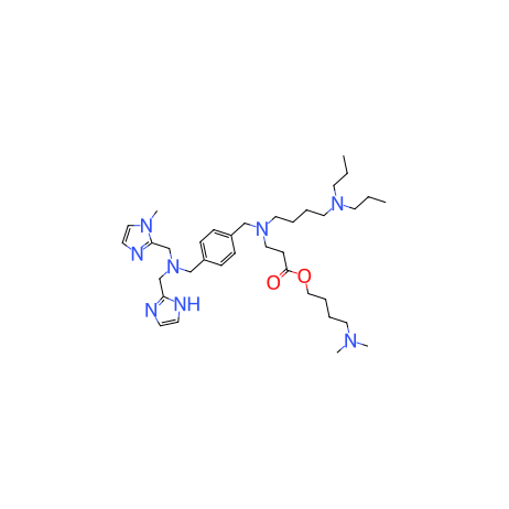 CCCN(CCC)CCCCN(CCC(=O)OCCCCN(C)C)Cc1ccc(CN(Cc2ncc[nH]2)Cc2nccn2C)cc1